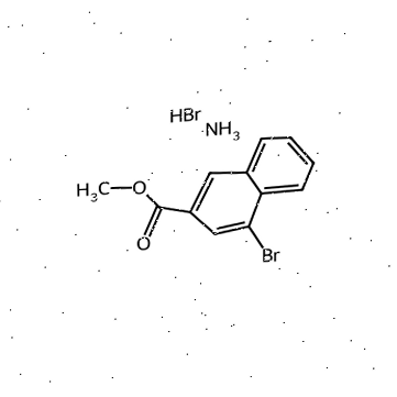 Br.COC(=O)c1cc(Br)c2ccccc2c1.N